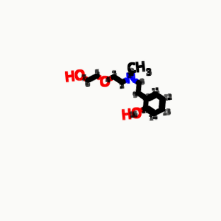 CN(CCOCCO)CCc1ccccc1O